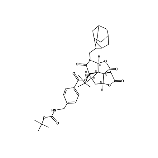 CC(C)(C)OC(=O)NCc1ccc(C(=O)O[C@H]2C(=O)N(CC3C4CC5CC(C4)CC3C5)[C@H]3OC(=O)[C@]45CC(=O)O[C@H]4C[C@@](O)(C(C)(C)C)[C@@]325)cc1